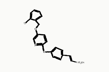 CCOC(=O)/C=C/c1ccc(Oc2ccc(OCc3ccccc3Cl)cn2)cc1